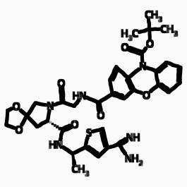 C[C@@H](NC(=O)[C@@H]1CC2(CN1C(=O)CNC(=O)c1ccc3c(c1)Oc1ccccc1N3C(=O)OC(C)(C)C)OCCO2)c1cc(C(=N)N)cs1